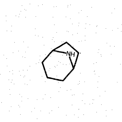 [CH]1CC2CCCC1N2